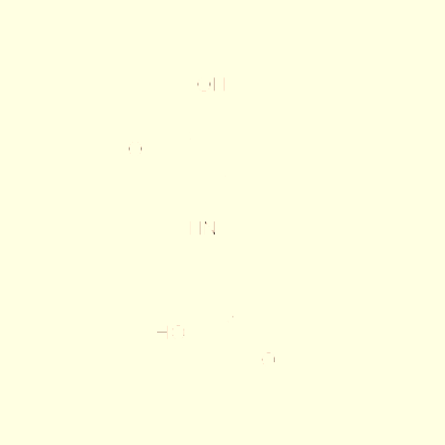 C=CC(NC(C)C(=O)O)C(=O)O